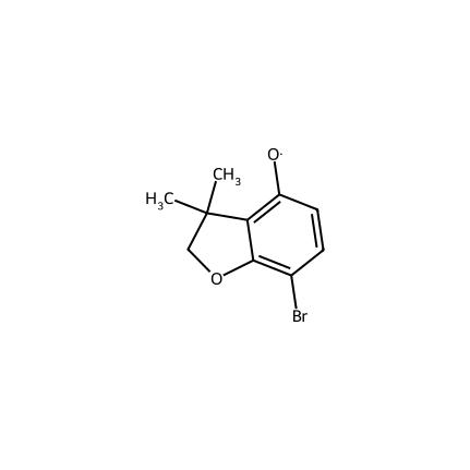 CC1(C)COc2c(Br)ccc([O])c21